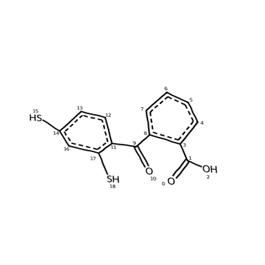 O=C(O)c1ccccc1C(=O)c1ccc(S)cc1S